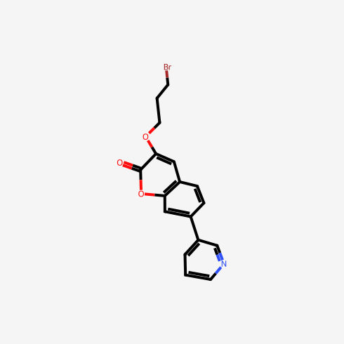 O=c1oc2cc(-c3cccnc3)ccc2cc1OCCCBr